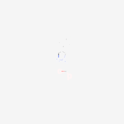 CCOC(=O)Cn1nc(C(F)(F)F)c2c1CC1[C@@H]2C1(F)F